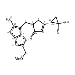 COCc1nn2c(CN3CC([C@@H]4CC4(F)F)=CC3=O)c(C(F)(F)F)nc2s1